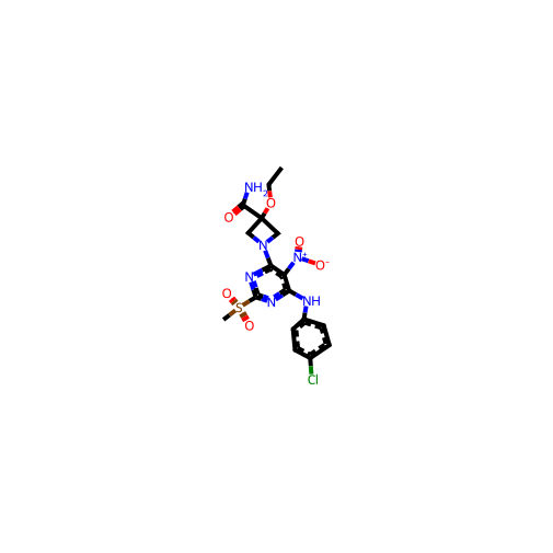 CCOC1(C(N)=O)CN(c2nc(S(C)(=O)=O)nc(Nc3ccc(Cl)cc3)c2[N+](=O)[O-])C1